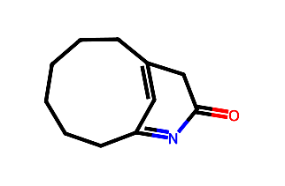 O=C1CC2=CC(=N1)CCCCCC2